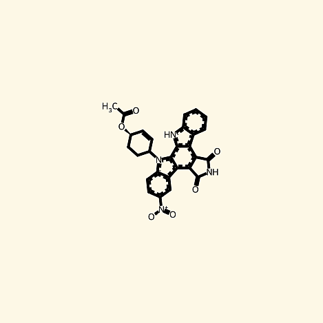 CC(=O)O[C@H]1C=CC(n2c3ccc([N+](=O)[O-])cc3c3c4c(c5c6ccccc6[nH]c5c32)C(=O)NC4=O)CC1